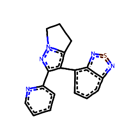 c1ccc(-c2nn3c(c2-c2cccc4nsnc24)CCC3)nc1